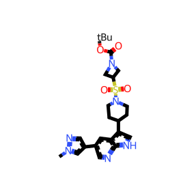 Cn1cc(-c2cnc3[nH]cc(C4CCN(S(=O)(=O)C5CN(C(=O)OC(C)(C)C)C5)CC4)c3c2)cn1